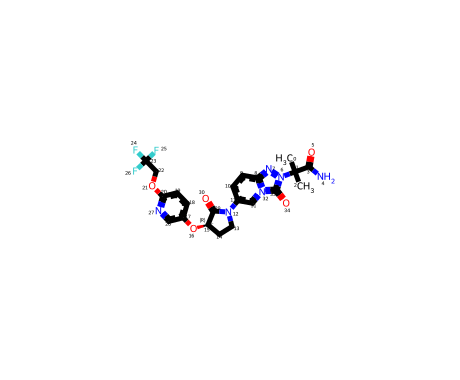 CC(C)(C(N)=O)n1nc2ccc(N3CC[C@@H](Oc4ccc(OCC(F)(F)F)nc4)C3=O)cn2c1=O